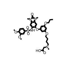 CCCOc1cc(OCCCCN(C)CC(=O)O)cc(Oc2cc3c(cc2NS(=O)(=O)c2ccc(OC)c(OC)c2)n(C)c(=O)n3C)c1